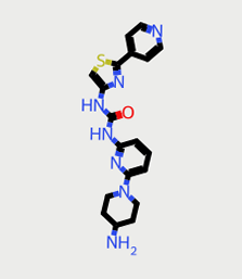 NC1CCN(c2cccc(NC(=O)Nc3csc(-c4ccncc4)n3)n2)CC1